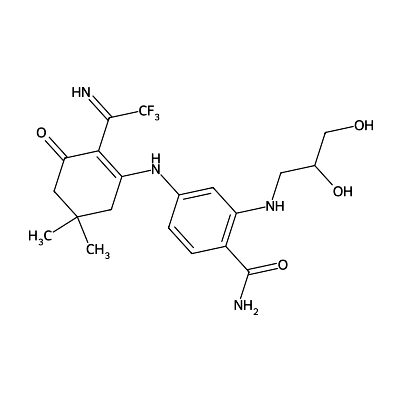 CC1(C)CC(=O)C(C(=N)C(F)(F)F)=C(Nc2ccc(C(N)=O)c(NCC(O)CO)c2)C1